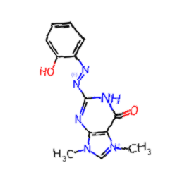 Cn1c[n+](C)c2c(=O)[nH]c(/N=N/c3ccccc3O)nc21